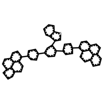 c1cc2ccc3ccc(-c4ccc(-c5ccc(-c6ccc(-c7ccc8ccc9cccc%10ccc7c8c9%10)cc6)c(-c6csc7ccccc67)c5)cc4)c4ccc(c1)c2c34